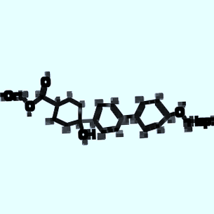 CCCCCCCCOC(=O)C1CCC(O)(c2ccc(-c3ccc(OCCCCCCC)cc3)cc2)CC1